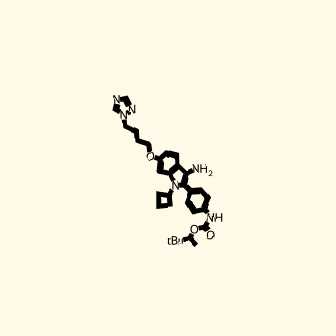 CC(OC(=O)Nc1ccc(-c2c(N)c3ccc(OCCCCn4cncn4)cc3n2C2CCC2)cc1)C(C)(C)C